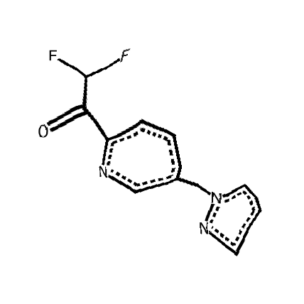 O=C(c1ccc(-n2cccn2)cn1)C(F)F